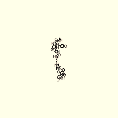 COc1ccc(CNc2c(C(=O)NC3CC3)cnc3cc(OC)c(-c4ccc(C(=O)NCCCCn5cc(CNc6cccc7c6C(=O)N(C6CCC(=O)NC6=O)C7=O)nn5)nc4)cc23)cc1